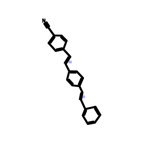 N#Cc1ccc(/C=C/c2ccc(/C=C/c3ccccc3)cc2)cc1